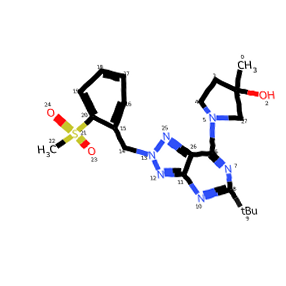 CC1(O)CCN(c2nc(C(C)(C)C)nc3nn(Cc4ccccc4S(C)(=O)=O)nc23)C1